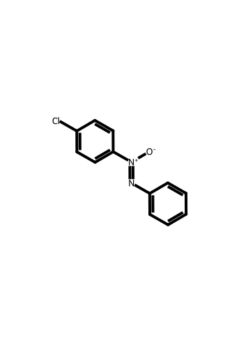 [O-][N+](=Nc1ccccc1)c1ccc(Cl)cc1